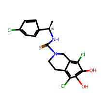 C[C@@H](NC(=S)N1CCc2c(Cl)c(O)c(O)c(Cl)c2C1)c1ccc(Cl)cc1